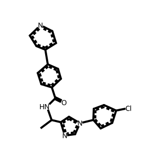 CC(NC(=O)c1ccc(-c2ccncc2)cc1)c1cn(-c2ccc(Cl)cc2)cn1